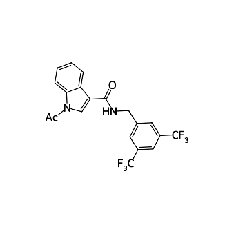 CC(=O)n1cc(C(=O)NCc2cc(C(F)(F)F)cc(C(F)(F)F)c2)c2ccccc21